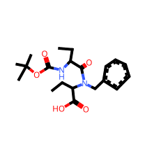 CCC(NC(=O)OC(C)(C)C)C(=O)N(Cc1ccccc1)C(CC)C(=O)O